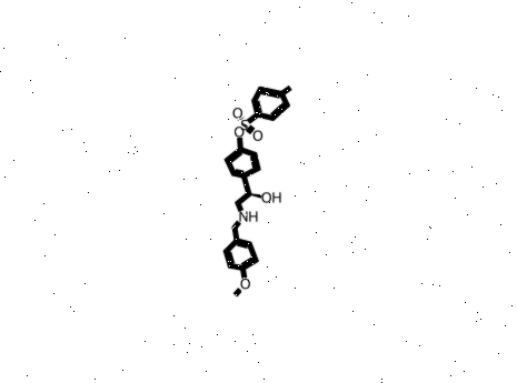 COc1ccc(CNC[C@H](O)c2ccc(OS(=O)(=O)c3ccc(C)cc3)cc2)cc1